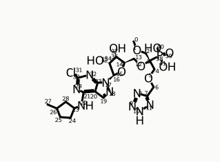 COC[C@@](COCc1nn[nH]n1)(OC[C@H]1O[C@@H](n2ncc3c(NC4CCC(C)C4)nc(Cl)nc32)[C@H](O)[C@@H]1O)P(=O)(O)O